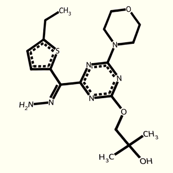 CCc1ccc(C(=NN)c2nc(OCC(C)(C)O)nc(N3CCOCC3)n2)s1